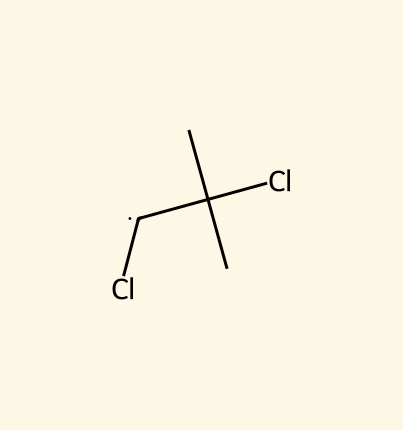 CC(C)(Cl)[CH]Cl